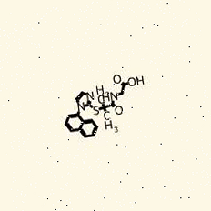 CC(C)(Sc1nccn1-c1cccc2ccccc12)C(=O)NCC(=O)O